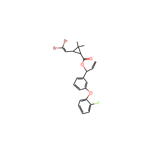 C=CC(OC(=O)C1C(C=C(Br)Br)C1(C)C)c1cccc(Oc2ccccc2F)c1